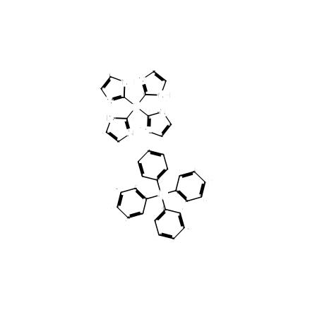 c1c[nH]c([B-](c2ncc[nH]2)(c2ncc[nH]2)c2ncc[nH]2)n1.c1ccc([B-](c2ccccc2)(c2ccccc2)c2ccccc2)cc1